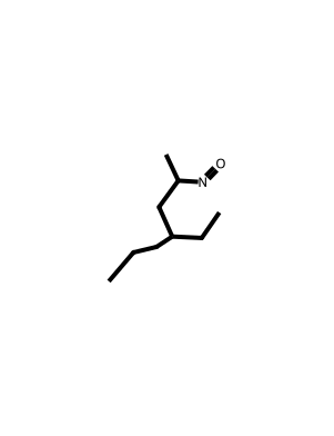 CCCC(CC)CC(C)N=O